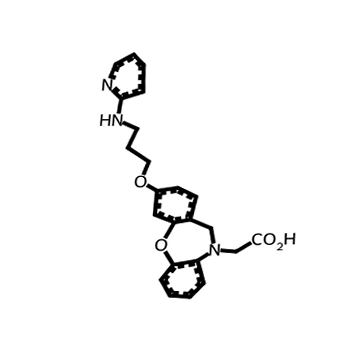 O=C(O)CN1Cc2ccc(OCCCNc3ccccn3)cc2Oc2ccccc21